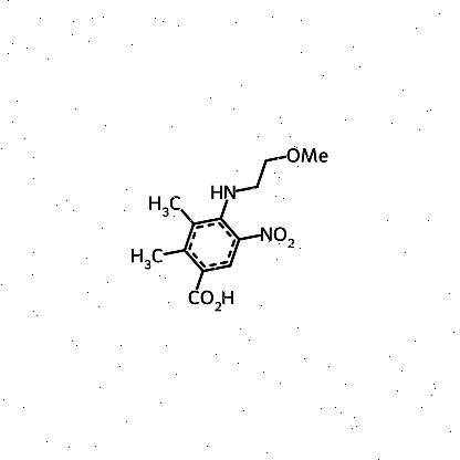 COCCNc1c([N+](=O)[O-])cc(C(=O)O)c(C)c1C